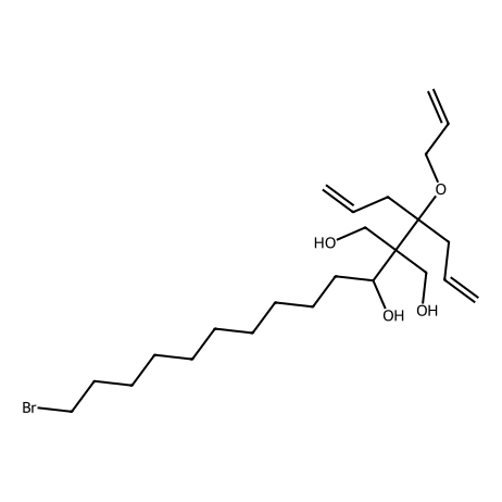 C=CCOC(CC=C)(CC=C)C(CO)(CO)C(O)CCCCCCCCCCBr